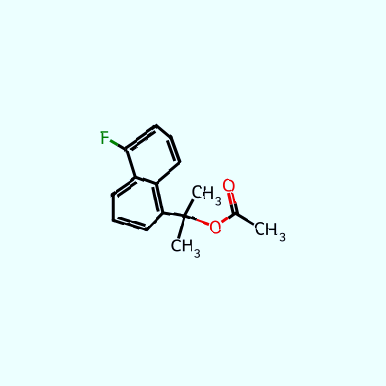 CC(=O)OC(C)(C)c1cccc2c(F)cccc12